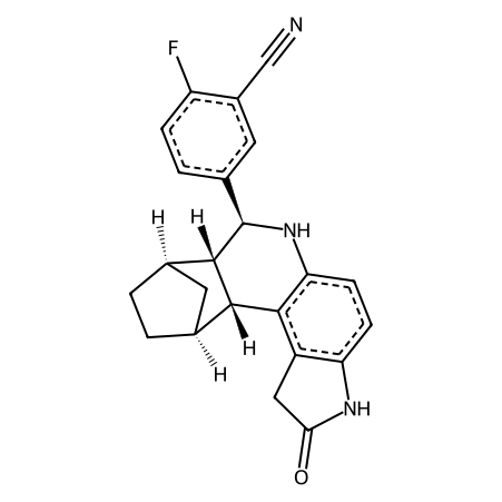 N#Cc1cc([C@H]2Nc3ccc4c(c3[C@@H]3[C@H]5CC[C@H](C5)[C@@H]32)CC(=O)N4)ccc1F